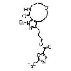 CCn1nc(CCCOC(=O)c2cnc(C)o2)c2c1C(=O)NCCCOCCC2